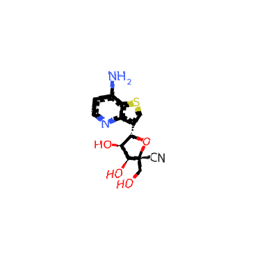 N#C[C@]1(CO)O[C@@H](c2csc3c(N)ccnc23)[C@H](O)[C@@H]1O